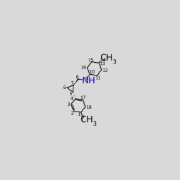 CC1C=CC([C@@H]2C[C@H]2CNC2CCC(C)CC2)=CC1